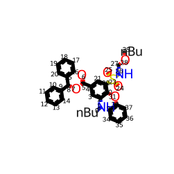 CCCCNc1cc(C(=O)OC(c2ccccc2)c2ccccc2)cc(S(=O)(=O)NCOCCCC)c1Oc1ccccc1